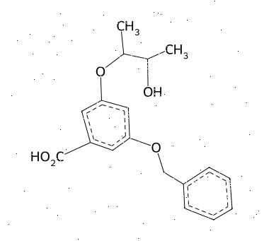 CC(O)C(C)Oc1cc(OCc2ccccc2)cc(C(=O)O)c1